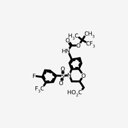 CC(C)(OC(=O)Nc1ccc2c(c1)N(S(=O)(=O)c1ccc(F)c(C(F)(F)F)c1)CC(CC(=O)O)O2)C(F)(F)F